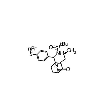 C=CCN1C(=O)C2CCC1(C(N[S+]([O-])C(C)(C)C)c1ccc(SCCC)cc1)CC2